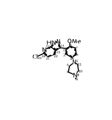 COc1ccc(N2CCN(C)CC2)cc1-c1n[nH]c2nc(Cl)ccc12